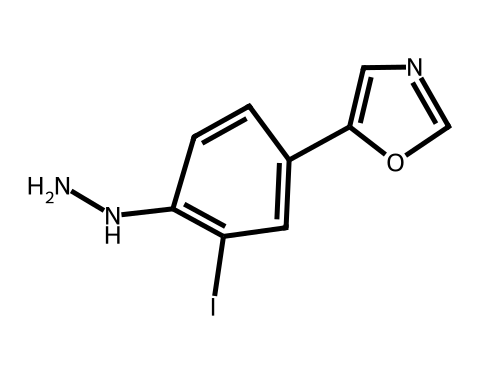 NNc1ccc(-c2cnco2)cc1I